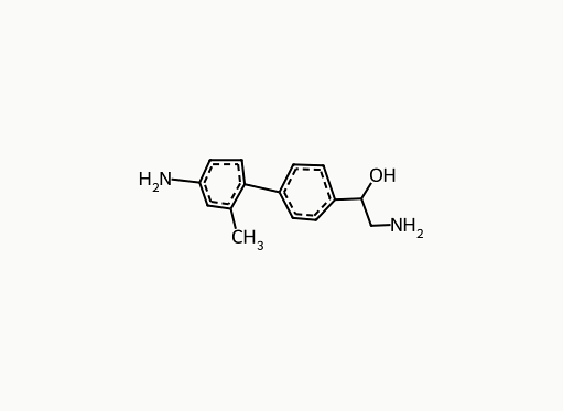 Cc1cc(N)ccc1-c1ccc(C(O)CN)cc1